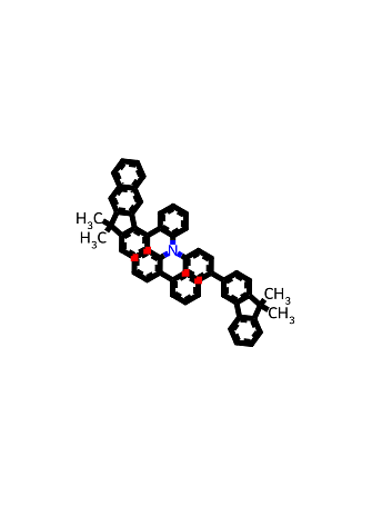 CC1(C)c2ccccc2-c2cc(-c3ccc(N(c4ccccc4-c4ccccc4)c4ccccc4-c4cccc5c4-c4cc6ccccc6cc4C5(C)C)cc3)ccc21